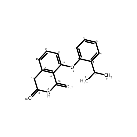 CC(C)c1ccccc1Oc1cccc2c1C(=O)NC(=O)C2